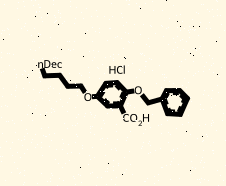 CCCCCCCCCCCCCCOc1ccc(OCc2ccccc2)c(C(=O)O)c1.Cl